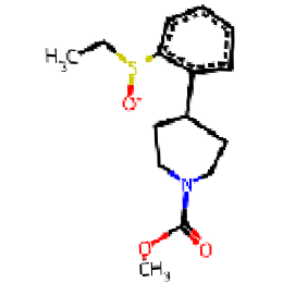 CC[S+]([O-])c1ccccc1C1CCN(C(=O)OC)CC1